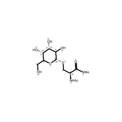 CNC(=O)[C@H](CO[C@@H]1OC(CO)[C@H](O)[C@H](O)C1O)NC(C)=O